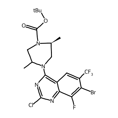 CC1CN(C(=O)OC(C)(C)C)[C@@H](C)CN1c1nc(Cl)nc2c(F)c(Br)c(C(F)(F)F)cc12